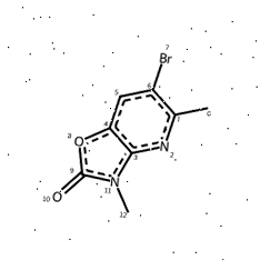 Cc1nc2c(cc1Br)oc(=O)n2C